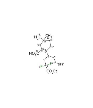 CCOC(=O)C(F)(F)CC(CCC(C)C)C1=C(C(=O)O)CC(C)(C)CC1